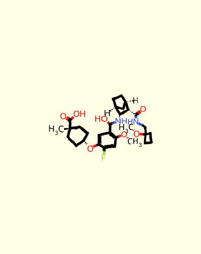 COc1cc(F)c(O[C@H]2CC[C@@](C)(C(=O)O)CC2)cc1C(O)N[C@@H]1[C@H]2CC[C@H](C2)[C@@H]1C(=O)NCC1(OC)CCC1